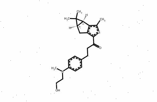 Cc1sc(C(=O)CCc2ccc(N(C)CCO)cc2)c2c1[C@H]1[C@@H](C2)C1(C)C